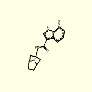 CN1C2CCC1CC(NC(=O)c1c[nH]c3c1ccc[n+]3[O-])C2